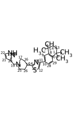 CC1(C)CCC(C)(C)c2cc(-c3csc(C4CCN(Cc5cc[nH]n5)CC4)n3)ccc21